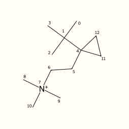 CC(C)(C)C1(CC[N+](C)(C)C)CC1